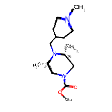 C[C@@H]1CN(C(=O)OC(C)(C)C)C[C@H](C)N1CC1CCN(C)CC1